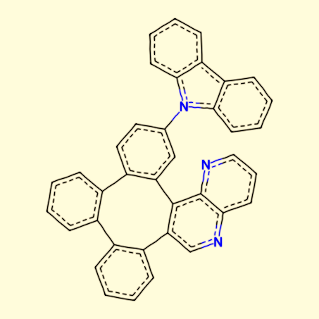 c1ccc2c(c1)-c1ccccc1-c1cnc3cccnc3c1-c1cc(-n3c4ccccc4c4ccccc43)ccc1-2